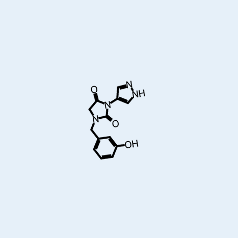 O=C1CN(Cc2cccc(O)c2)C(=O)N1c1cn[nH]c1